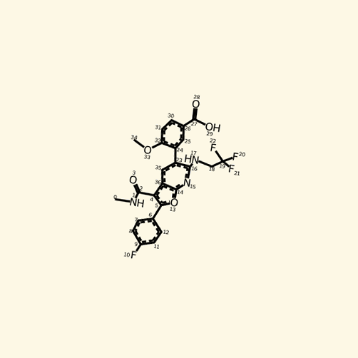 CNC(=O)c1c(-c2ccc(F)cc2)oc2nc(NCC(F)(F)F)c(-c3cc(C(=O)O)ccc3OC)cc12